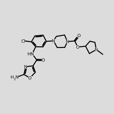 CN1CCC(OC(=O)N2CCN(c3ccc(Cl)c(NC(=O)c4coc(N)n4)c3)CC2)C1